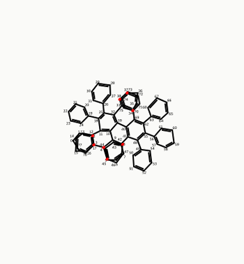 c1ccc(-c2ccccc2-c2c(-c3ccccc3)c(-c3ccccc3)c(-c3ccccc3)c(-c3ccccc3)c2-c2c(-c3ccccc3)c(-c3ccccc3)c(-c3ccccc3)c(-c3ccccc3)c2-c2ccccc2)cc1